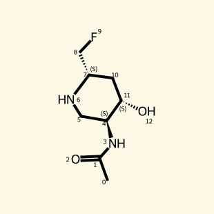 CC(=O)N[C@H]1CN[C@H](CF)C[C@@H]1O